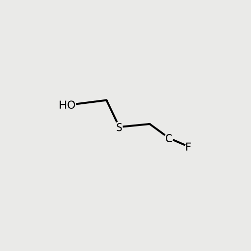 OCSCCF